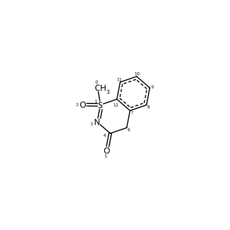 CS1(=O)=NC(=O)Cc2ccccc21